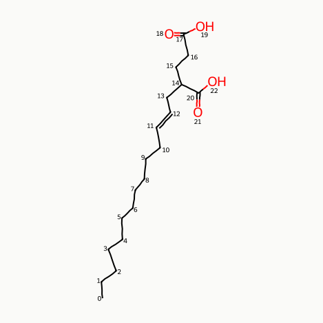 CCCCCCCCCCCC=CCC(CCC(=O)O)C(=O)O